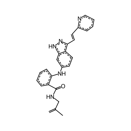 C=C(C)CNC(=O)c1ccccc1Nc1ccc2c(C=Cc3ccccn3)n[nH]c2c1